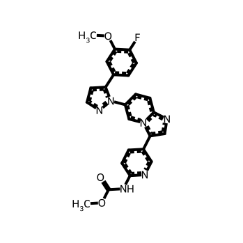 COC(=O)Nc1ccc(-c2cnc3ccc(-n4nccc4-c4ccc(F)c(OC)c4)cn23)cn1